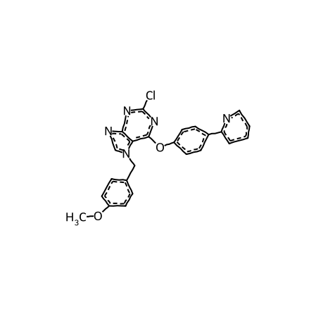 COc1ccc(Cn2cnc3nc(Cl)nc(Oc4ccc(-c5ccccn5)cc4)c32)cc1